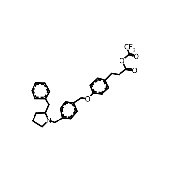 O=C(CCc1ccc(OCc2ccc(CN3CCCC3Cc3ccccc3)cc2)cc1)OC(=O)C(F)(F)F